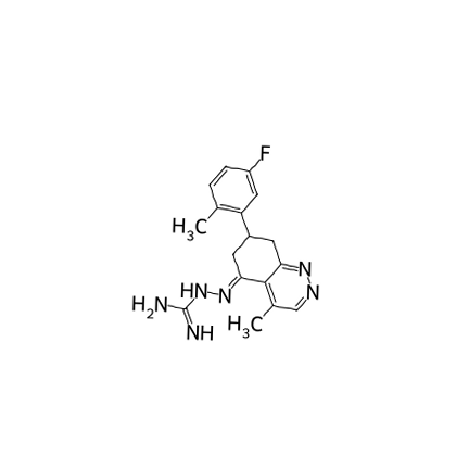 Cc1ccc(F)cc1C1CC(=NNC(=N)N)c2c(C)cnnc2C1